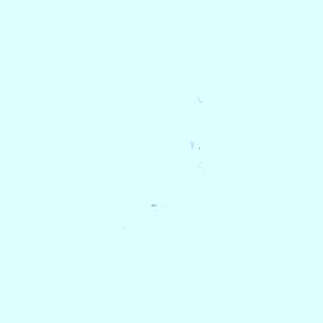 C=CCCN/C=C/C[C@@H](C)O/C=C/CC(O)CCC